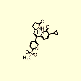 CS(=O)(=O)c1ccc(/C(=C/[C@H]2CCC(=O)N2)c2ccc(C3CC3)c(=O)[nH]2)cn1